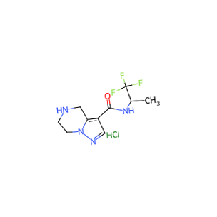 CC(NC(=O)c1cnn2c1CNCC2)C(F)(F)F.Cl